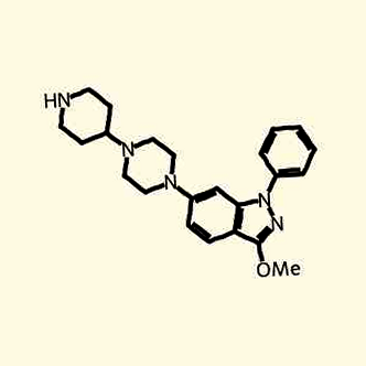 COc1nn(-c2ccccc2)c2cc(N3CCN(C4CCNCC4)CC3)ccc12